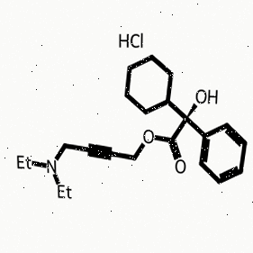 CCN(CC)CC#CCOC(=O)[C@@](O)(c1ccccc1)C1CCCCC1.Cl